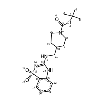 CC(C)(C)OC(=O)N1CCC(CNC2=NS(=O)(=O)c3ccccc3N2)CC1